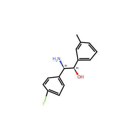 Cc1cccc([C@@H](O)[C@H](N)c2ccc(F)cc2)c1